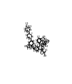 COc1cc(N2CCC(N3CCN(C)CC3)CC2)ccc1Nc1ncc(C(=O)OC(C)C)c(Nc2cccc3c2N(S(C)(=O)=O)CC3)n1